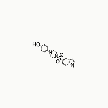 Cn1ccc2cc(S(=O)(=O)N3CCN(c4ccc(O)cc4)CC3)ccc21